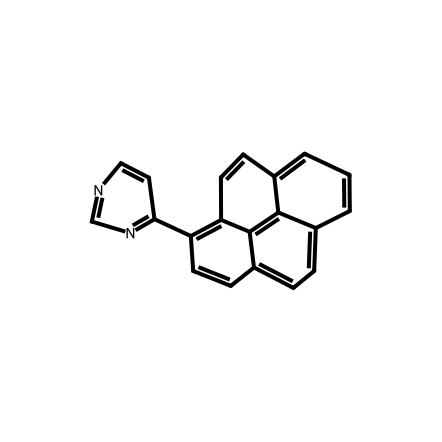 c1cc2ccc3ccc(-c4ccncn4)c4ccc(c1)c2c34